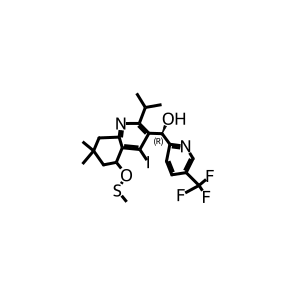 CSOC1CC(C)(C)Cc2nc(C(C)C)c([C@@H](O)c3ccc(C(F)(F)F)cn3)c(I)c21